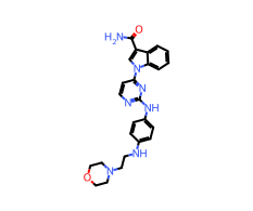 NC(=O)c1cn(-c2ccnc(Nc3ccc(NCCN4CCOCC4)cc3)n2)c2ccccc12